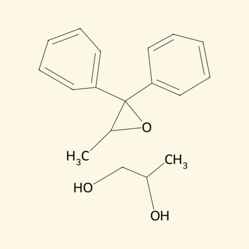 CC(O)CO.CC1OC1(c1ccccc1)c1ccccc1